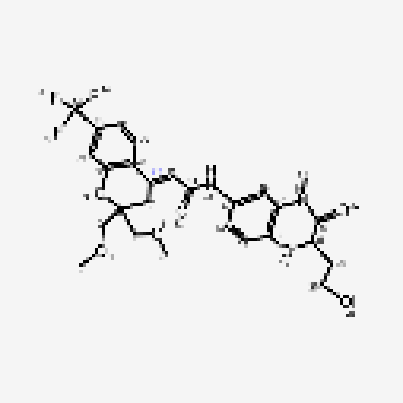 COCC1(COC)C/C(=C\C(=O)Nc2ccc3c(c2)N(C)C(=O)C(CCO)O3)c2ccc(C(F)(F)F)cc2O1